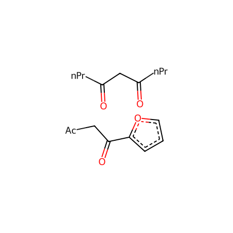 CC(=O)CC(=O)c1ccco1.CCCC(=O)CC(=O)CCC